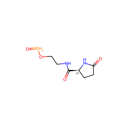 O=[PH2]OCCNC(=O)[C@@H]1CCC(=O)N1